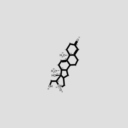 CCC1CC2C3CCC4=CC(=O)CC[C@]4(C)C3=CC[C@]2(C)[C@@]1(O)C(O)CO